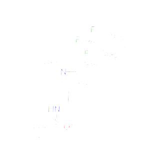 CC(C)Cn1cc(CN[S+]([O-])C2CC2)c2ccc(-c3ccccc3C(F)(F)F)cc21